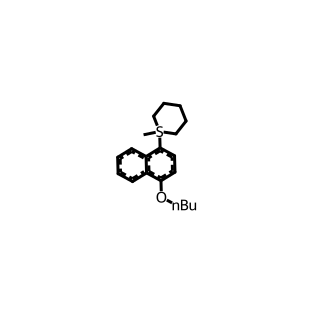 CCCCOc1ccc(S2(C)CCCCC2)c2ccccc12